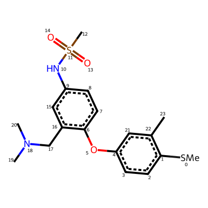 CSc1ccc(Oc2ccc(NS(C)(=O)=O)cc2CN(C)C)cc1C